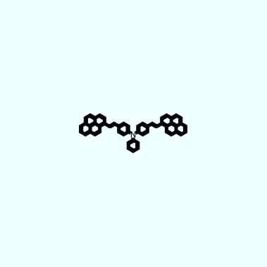 C(=Cc1ccc2ccc3cccc4ccc1c2c34)c1ccc(N(c2ccccc2)c2ccc(C=Cc3ccc4ccc5cccc6ccc3c4c56)cc2)cc1